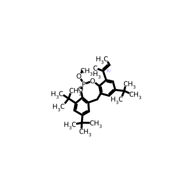 C/C=C(\C)c1cc(C(C)(C)C)cc2c1OP(OC)Oc1c(cc(C(C)(C)C)cc1C(C)(C)C)C2